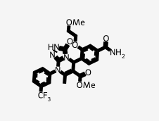 COCCOc1cc(C(N)=O)ccc1C1C(C(=O)OC)=C(C)N(c2cccc(C(F)(F)F)c2)c2n[nH]c(=O)n21